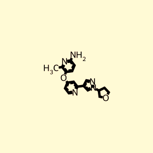 Cc1nc(N)ccc1Oc1ccnc(-c2cnn(C3CCOC3)c2)c1